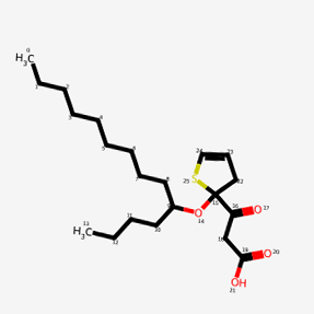 CCCCCCCCCC(CCCC)OC1(C(=O)CC(=O)O)CC=CS1